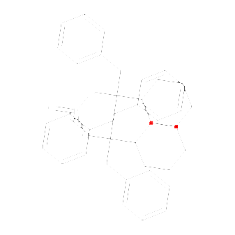 O=[PH](OC(Cc1ccccc1)(Cc1ccccc1)C1CCCCC1)OC(Cc1ccccc1)(Cc1ccccc1)C1CCCCC1